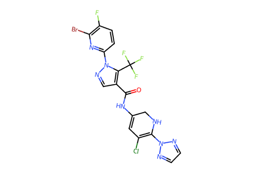 O=C(NC1=CC(Cl)=C(n2nccn2)NC1)c1cnn(-c2ccc(F)c(Br)n2)c1C(F)(F)F